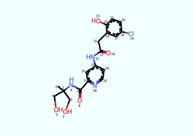 CC(CO)(CO)NC(=O)c1cc(NC(=O)Cc2cc(Cl)ccc2O)ccn1